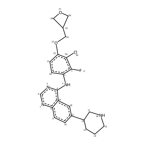 Fc1c(Nc2ncnc3ccc(C4CCCNC4)cc23)ccc(OCC2COC2)c1Cl